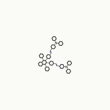 C(=C\c1ccc(N(c2ccccc2)c2ccccc2)cc1)/c1ccc(-c2c(-c3ccc(/C=C/c4ccc(N(c5ccccc5)c5ccccc5)cc4)cc3)c(-c3ccccc3)c3ccccc3c2-c2ccccc2)cc1